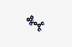 c1cncc(-c2cc(-c3ccc(-c4nc5c6ccccc6c6ccccc6c5c5ccncc45)cc3)cc(-c3cccnc3)c2)c1